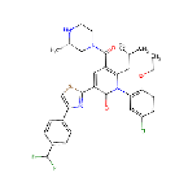 CCOc1ccc(Cl)cc1-n1c(CC(C)C)c(C(=O)N2CCN[C@@H](C)C2)cc(-c2nc(-c3ccc(C(F)F)cc3)cs2)c1=O